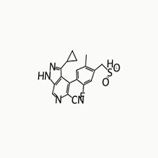 Cc1cc(-c2c(C#N)ncc3[nH]nc(C4CC4)c23)c(F)cc1C[SH](=O)=O